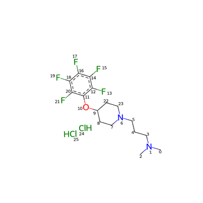 CN(C)CCCN1CCC(Oc2c(F)c(F)c(F)c(F)c2F)CC1.Cl.Cl